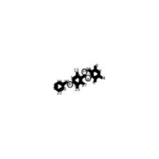 Cc1cc(C)c(C)c(OC(=O)c2c(C)cc(OCc3ccccc3)c(C)c2C)c1C